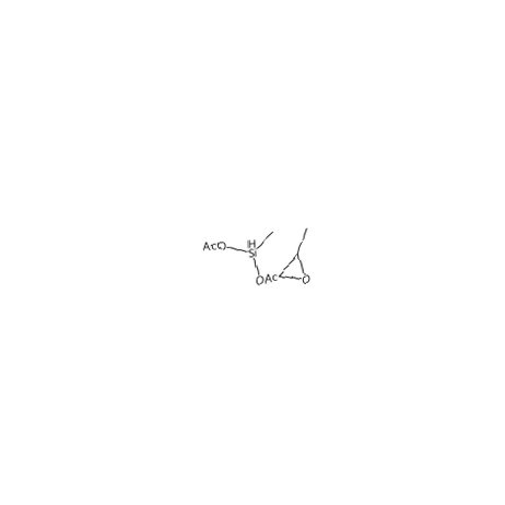 CC(=O)O[SiH](C)OC(C)=O.CC1CO1